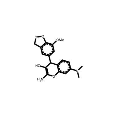 COc1cc(C2C(C#N)=C(N)Oc3cc(N(C)C)ccc32)cc2c1OOC2